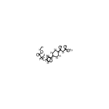 CCOC(=O)C(C)(C)Cc1coc(C2CCC(C(=O)CC(=O)OC)CC2)n1